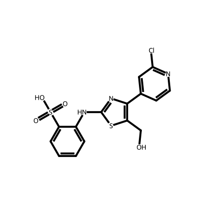 O=S(=O)(O)c1ccccc1Nc1nc(-c2ccnc(Cl)c2)c(CO)s1